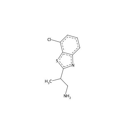 CC(CN)c1nc2cccc(Cl)c2s1